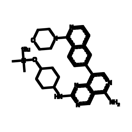 CC(C)(C)[Si](C)(C)OC1CCC(Nc2ncc3c(N)ncc(-c4ccc5c(N6CCOCC6)nccc5c4)c3n2)CC1